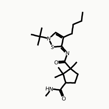 CCCCc1cn(C(C)(C)C)s/c1=N\C(=O)C1(C)CCC(C(=O)NC)C1(C)C